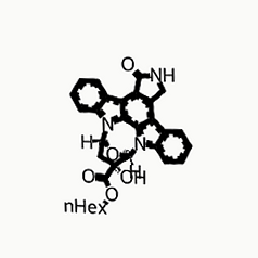 CCCCCCOC(=O)[C@@]1(O)C[C@H]2O[C@H]1n1c3ccccc3c3c4c(c5c6ccccc6n2c5c31)C(=O)NC4